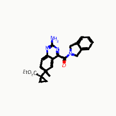 CCOC(=O)C1(C2(C)C=c3c(C(=O)N4Cc5ccccc5C4)nc(N)nc3=CC2)CC1